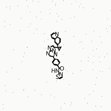 O=C(Nc1nccs1)c1ccc(-c2cnc3ncc(C4(c5ccc6ncccc6c5)CC4)n3n2)cc1